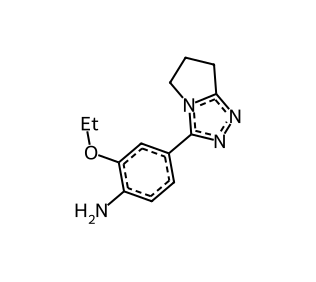 CCOc1cc(-c2nnc3n2CCC3)ccc1N